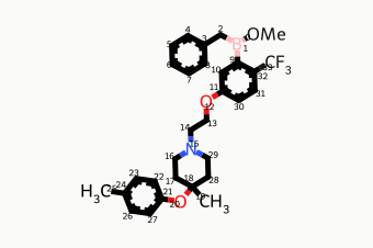 COB(Cc1ccccc1)c1cc(OCCN2CCC(C)(Oc3ccc(C)cc3)CC2)ccc1C(F)(F)F